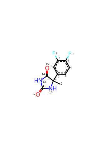 CC1(c2ccc(F)c(F)c2)NC(=O)NC1=O